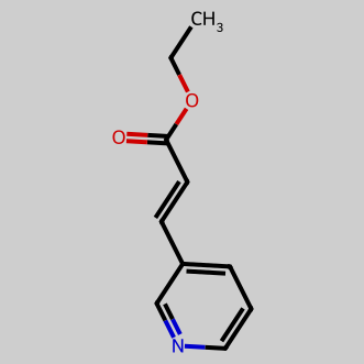 CCOC(=O)/C=C/c1cccnc1